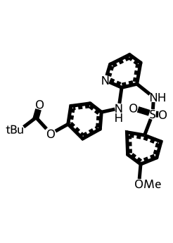 COc1ccc(S(=O)(=O)Nc2cccnc2Nc2ccc(OC(=O)C(C)(C)C)cc2)cc1